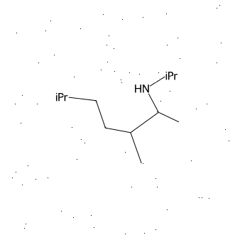 CC(C)CCC(C)C(C)NC(C)C